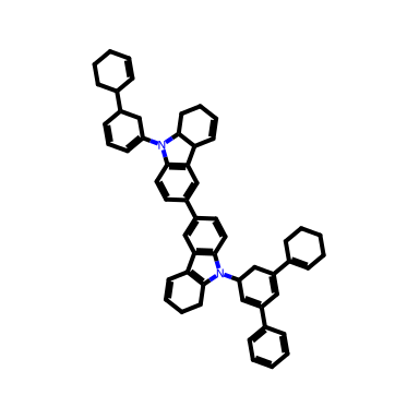 C1=CC(C2C=CCCC2)CC(N2c3ccc(-c4ccc5c(c4)c4c(n5C5C=C(c6ccccc6)C=C(C6=CCCCC6)C5)CCC=C4)cc3C3C=CCCC32)=C1